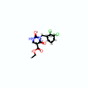 CCOC(=O)c1c[nH]c(=O)n(Cc2cccc(Cl)c2Cl)c1=O